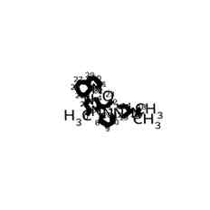 CCCN(Cc1nc2cccc(N3CC[C@@H](N(C)C)C3)n2c1C=O)[C@H]1CCCc2cccnc21